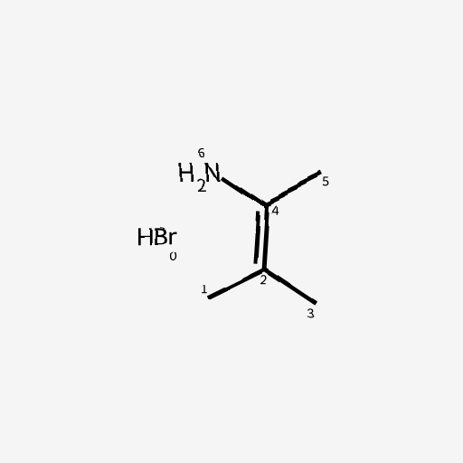 Br.CC(C)=C(C)N